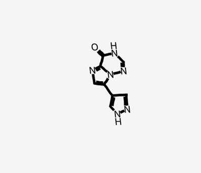 O=c1[nH]cnn2c(-c3cn[nH]c3)cnc12